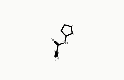 C#CC(=O)NC1CCCC1